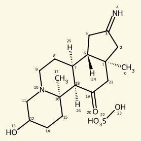 C[C@@]12CC(=N)C[C@H]1[C@@H]1CCN3CC(O)CC[C@]3(C)[C@@H]1C(=O)C2.O=S(=O)(O)O